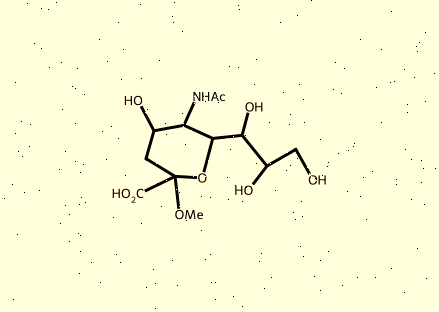 COC1(C(=O)O)CC(O)C(NC(C)=O)C(C(O)C(O)CO)O1